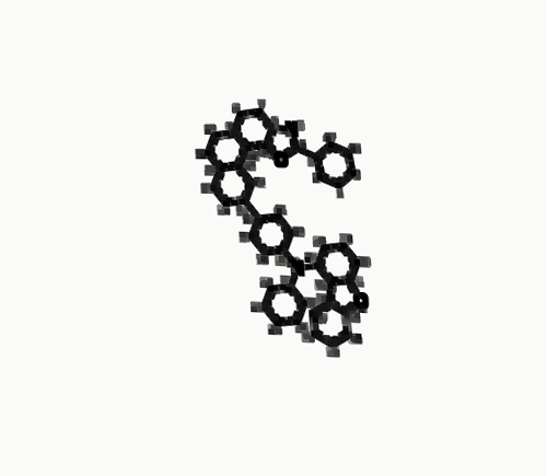 c1ccc(-c2nc3ccc4ccc5ccc(-c6ccc(N(c7ccccc7)c7cccc8oc9ccccc9c78)cc6)cc5c4c3o2)cc1